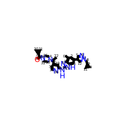 Cc1cc(C2C=NN(CC3CC3)C2)cc2[nH]c(Nc3cc(C(C)N4CCN(C(=O)C5CC5)CC4)ccn3)nc12